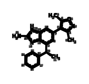 Cc1noc(C)c1-c1cc([C@@H](C)c2ccccc2)c2nc(N)[nH]c2c1